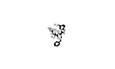 Bc1ccc2nnc([C@@H](COCc3ccccc3)NC(=O)C(C)(C)NC(=O)OC(C)(C)C)n2c1